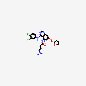 CN(C)CC=CC(=O)Nc1cc(OC[C@@H]2CCCO2)cc2ncnc(Nc3ccc(F)c(Cl)c3)c12